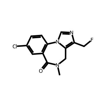 CN1Cc2c(CF)ncn2-c2ccc(Cl)cc2C1=O